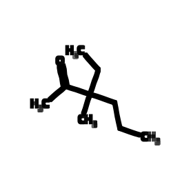 CCCC(C)(CC)C(C)=O